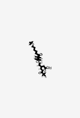 CC(C)(C)OCCCCCC(=O)C(C)(C)C(C)(C)OCCC(CCC(=O)C(C)(C)C)CC(=O)O